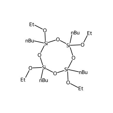 CCCC[Si]1(OCC)O[Si](CCCC)(OCC)O[Si](CCCC)(OCC)O[Si](CCCC)(OCC)O1